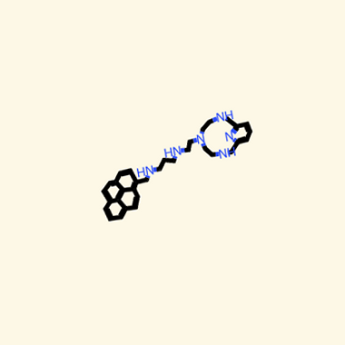 c1cc2nc(c1)CNCCN(CCNCCCNCc1ccc3ccc4cccc5ccc1c3c45)CCNC2